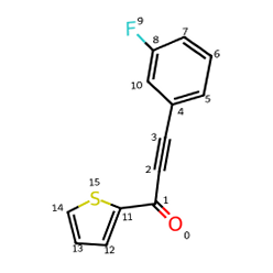 O=C(C#Cc1cccc(F)c1)c1cccs1